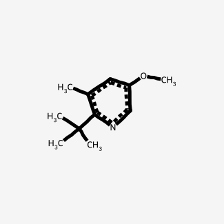 COc1cnc(C(C)(C)C)c(C)c1